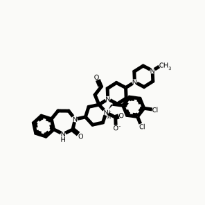 CN1CCN(C2CCN(C3(CC=O)CC(N4CCc5ccccc5NC4=O)CC[N@+]3(Cc3ccc(Cl)c(Cl)c3)C(=O)[O-])CC2)CC1